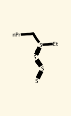 CCCCS(CC)=S=S=S